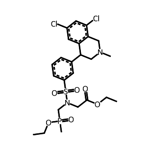 CCOC(=O)CN(CP(C)(=O)OCC)S(=O)(=O)c1cccc(C2CN(C)Cc3c(Cl)cc(Cl)cc32)c1